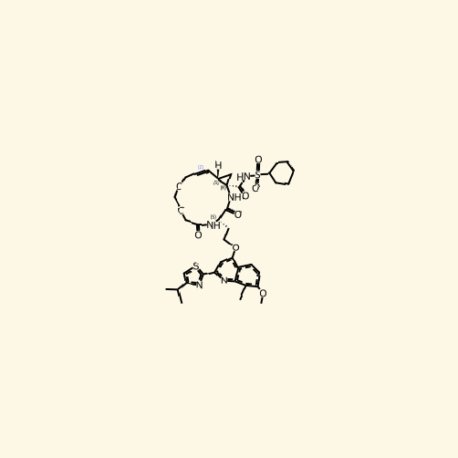 COc1ccc2c(OCC[C@@H]3NC(=O)CCCCC/C=C\[C@@H]4C[C@@]4(C(=O)NS(=O)(=O)C4CCCCC4)NC3=O)cc(-c3nc(C(C)C)cs3)nc2c1C